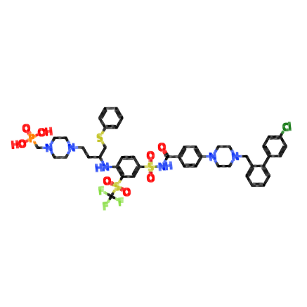 O=C(NS(=O)(=O)c1ccc(NC(CCN2CCN(CP(=O)(O)O)CC2)CSc2ccccc2)c(S(=O)(=O)C(F)(F)F)c1)c1ccc(N2CCN(Cc3ccccc3-c3ccc(Cl)cc3)CC2)cc1